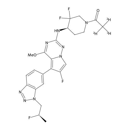 [2H]C([2H])([2H])C(=O)N1CC[C@@H](Nc2nc(OC)c3c(-c4ccc5nnn(C[C@@H](C)F)c5c4)c(F)cn3n2)C(F)(F)C1